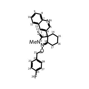 CNC(=S)C1(c2cnc3ccccc3c2)CCCCC1=NOCc1ccc(F)cc1